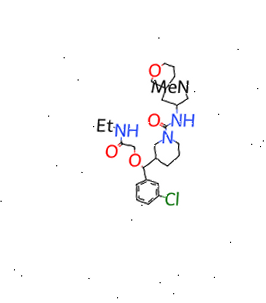 CCNC(=O)CO[C@@H](c1cccc(Cl)c1)C1CCCN(C(=O)NC(CNC)CC2CCCOC2)C1